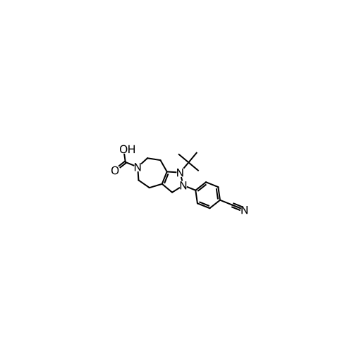 CC(C)(C)N1C2=C(CCN(C(=O)O)CC2)CN1c1ccc(C#N)cc1